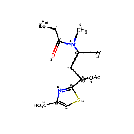 CC[C@H](C)CC(=O)N(C)C(C[C@@H](OC(C)=O)c1nc(C(=O)O)cs1)C(C)C